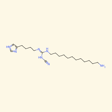 N#CN/C(=N\CCCCc1c[nH]cn1)NCCCCCCCCCCCCN